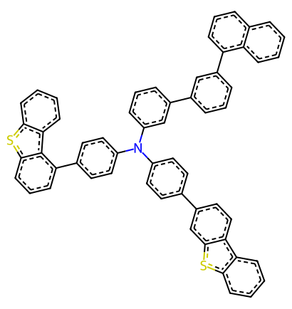 c1cc(-c2cccc(N(c3ccc(-c4ccc5c(c4)sc4ccccc45)cc3)c3ccc(-c4cccc5sc6ccccc6c45)cc3)c2)cc(-c2cccc3ccccc23)c1